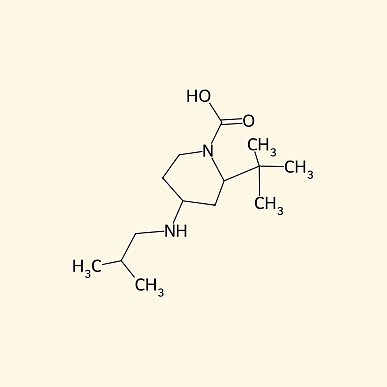 CC(C)CNC1CCN(C(=O)O)C(C(C)(C)C)C1